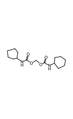 O=C(NC1CCCCC1)OCOC(=O)NC1CCCCC1